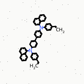 C=Cc1ccc(N(c2ccc(C3=CCC(N(c4ccc(C=C)cc4)c4cccc5ccccc45)C=C3)cc2)c2cccc3ccccc23)cc1